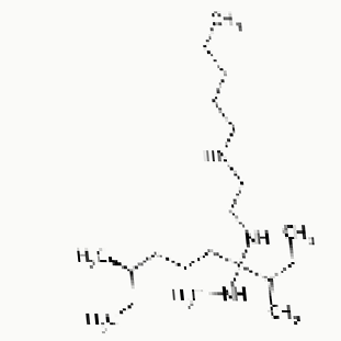 C=C(CC)C(CCC[C@H](C)CC)(NC)NCCNCCCCC